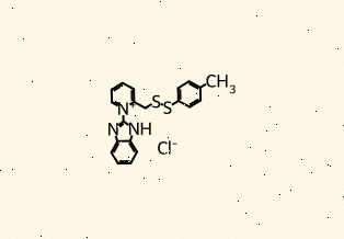 Cc1ccc(SSCc2cccc[n+]2-c2nc3ccccc3[nH]2)cc1.[Cl-]